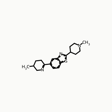 CC1CCC(c2ccc3sc(C4CCN(C)CC4)nc3c2)=NC1